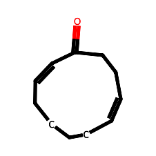 O=C1/C=C\CCCC/C=C\CC1